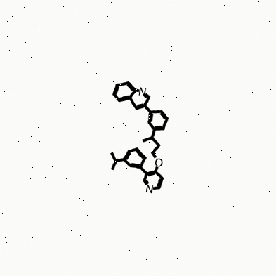 CC(C)c1cccc(-c2cnccc2OCCC(C)c2cccc(-c3cnc4ccccc4c3)c2)c1